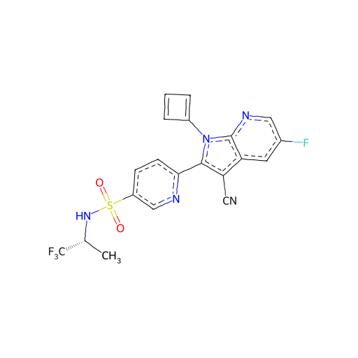 C[C@@H](NS(=O)(=O)c1ccc(-c2c(C#N)c3cc(F)cnc3n2C2=CC=C2)nc1)C(F)(F)F